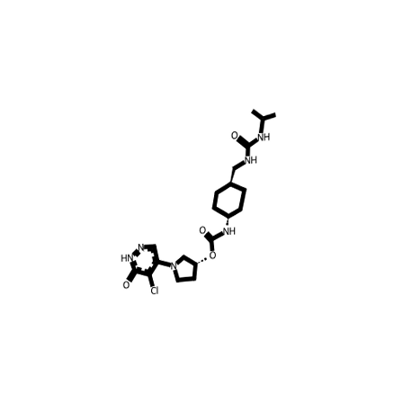 CC(C)NC(=O)NC[C@H]1CC[C@H](NC(=O)O[C@@H]2CCN(c3cn[nH]c(=O)c3Cl)C2)CC1